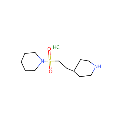 Cl.O=S(=O)(CCC1CCNCC1)N1CCCCC1